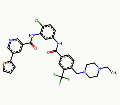 CCN1CCN(Cc2ccc(C(=O)Nc3ccc(Cl)c(NC(=O)c4cncc(-c5cccs5)c4)c3)cc2C(F)(F)F)CC1